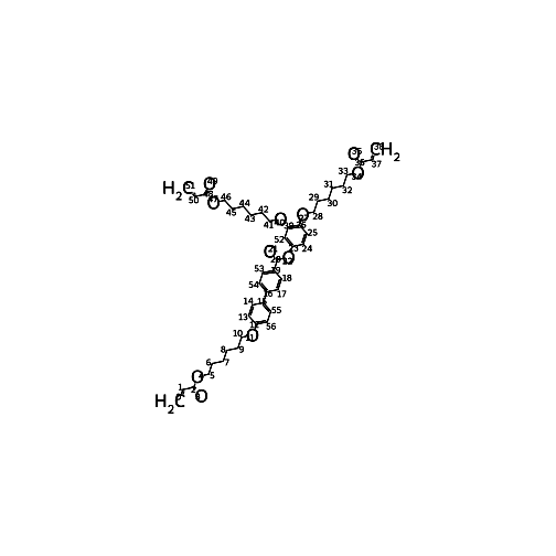 C=CC(=O)OCCCCCCOc1ccc(-c2ccc(C(=O)Oc3ccc(OCCCCCCOC(=O)C=C)c(OCCCCCCOC(=O)C=C)c3)cc2)cc1